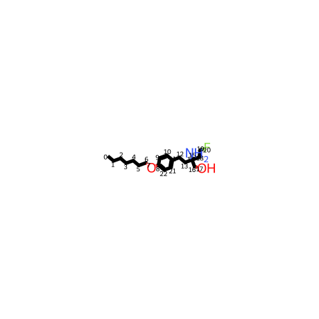 CCCCCCCOc1ccc(CCC(N)(CO)CCF)cc1